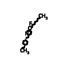 CCCCCCC(F)COc1ccc(CC[C@H]2CC[C@H](CCC)CC2)nc1